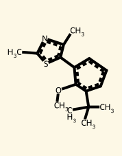 COc1c(-c2sc(C)nc2C)cccc1C(C)(C)C